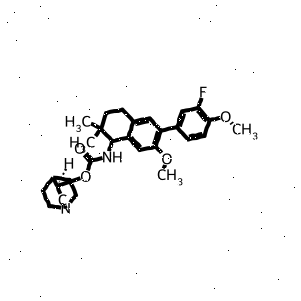 COc1ccc(-c2cc3c(cc2OC)C(NC(=O)O[C@H]2CN4CCC2CC4)C(C)(C)CC3)cc1F